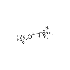 COC(Cc1ccc(OCCNCC(=O)OC(C)(C)C)cc1)C(=O)O